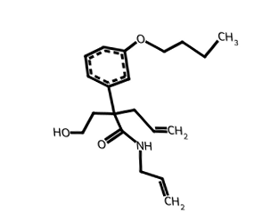 C=CCNC(=O)C(CC=C)(CCO)c1cccc(OCCCC)c1